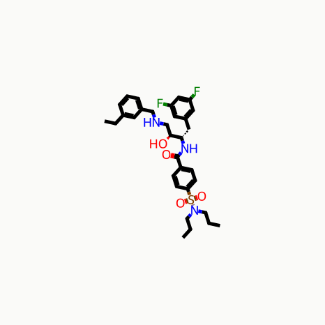 CCCN(CCC)S(=O)(=O)c1ccc(C(=O)N[C@@H](Cc2cc(F)cc(F)c2)[C@@H](O)CNCc2cccc(CC)c2)cc1